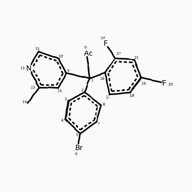 CC(=O)C(c1ccc(Br)cc1)(c1ccnc(C)c1)c1ccc(F)cc1F